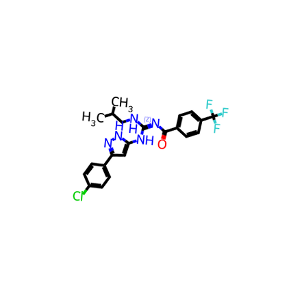 CC(C)CN/C(=N/C(=O)c1ccc(C(F)(F)F)cc1)Nc1cc(-c2ccc(Cl)cc2)n[nH]1